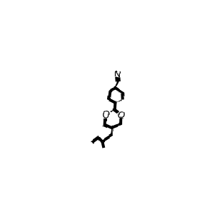 CCC(C)C[C@H]1CO[C@H]([C@H]2CC[C@H](C#N)CC2)OC1